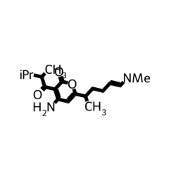 CN/C=C/CCC(C)c1cc(N)c(C(=O)C(C)C(C)C)c(=O)o1